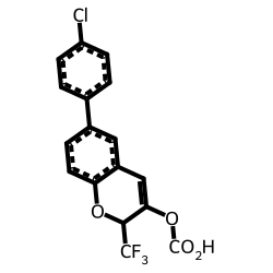 O=C(O)OC1=Cc2cc(-c3ccc(Cl)cc3)ccc2OC1C(F)(F)F